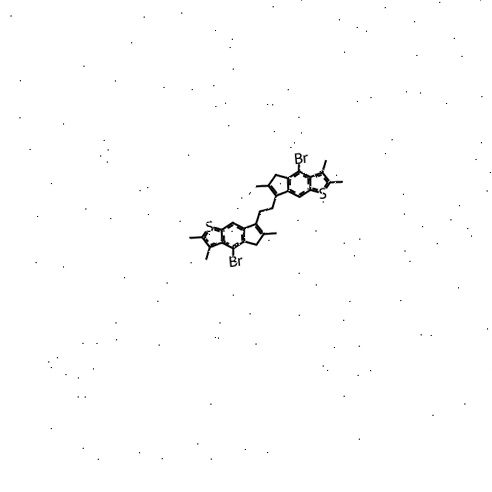 CC1=C(CCC2=C(C)Cc3c2cc2sc(C)c(C)c2c3Br)c2cc3sc(C)c(C)c3c(Br)c2C1